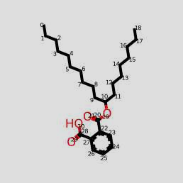 CCCCCCCCCCC(CCCCCCCC)OC(=O)c1ccccc1C(=O)O